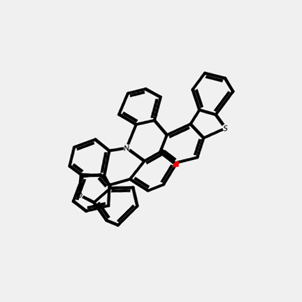 c1ccc(-c2ccccc2N(c2ccccc2-c2cccc3sc4ccccc4c23)c2cccc3oc4ccccc4c23)cc1